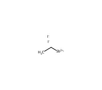 C[CH2][Sb+2].[I-].[I-]